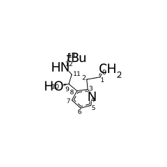 C=CCc1ncccc1[C@@H](O)CNC(C)(C)C